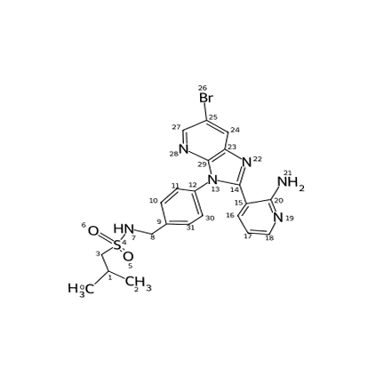 CC(C)CS(=O)(=O)NCc1ccc(-n2c(-c3cccnc3N)nc3cc(Br)cnc32)cc1